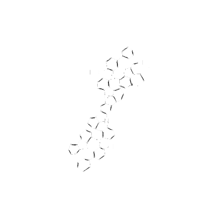 C=Cc1oc2c(N(c3cc(-c4ccccc4)ccc3C)c3cccc4c3c3cccc5c6cc7c(cc6n4c53)c3cccc4c5c(N(c6cc(-c8ccccc8)ccc6C)c6cccc8c6oc6ccccc68)cccc5n7c34)cccc2c1/C=C\C